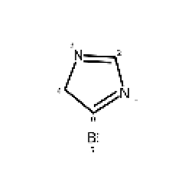 C1=NC=NC1.[B]